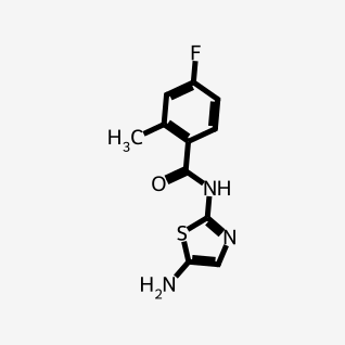 Cc1cc(F)ccc1C(=O)Nc1ncc(N)s1